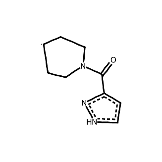 O=C(c1cc[nH]n1)N1CC[CH]CC1